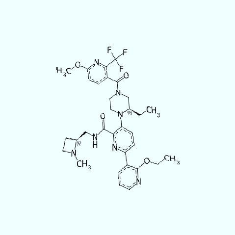 CCOc1ncccc1-c1ccc(N2CCN(C(=O)c3ccc(OC)nc3C(F)(F)F)C[C@H]2CC)c(C(=O)NC[C@@H]2CCN2C)n1